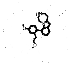 COCCc1cc(OC)ccc1-c1cccc2cc3n(c12)CCNCC3